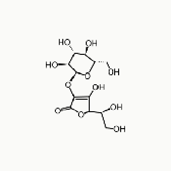 O=C1O[C@H]([C@@H](O)CO)C(O)=C1O[C@@H]1O[C@@H](CO)[C@H](O)[C@@H](O)[C@@H]1O